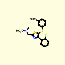 CN(Cc1nc(-c2ccccc2F)c(Sc2cccc(C=O)c2)s1)C(=O)O